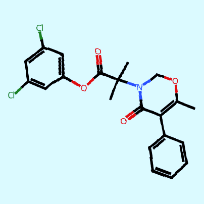 CC1=C(c2ccccc2)C(=O)N(C(C)(C)C(=O)Oc2cc(Cl)cc(Cl)c2)CO1